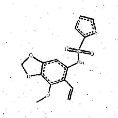 C=Cc1c(NS(=O)(=O)c2cccs2)cc2c(c1OC)OCO2